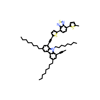 CC#Cc1cc(CCCCCCCC)cc2c3cc(CCCCCCCC)cc(C#Cc4ccc(-c5ccc(-c6ccc(C)s6)c6nsnc56)s4)c3n(CCCCCCCC)c12